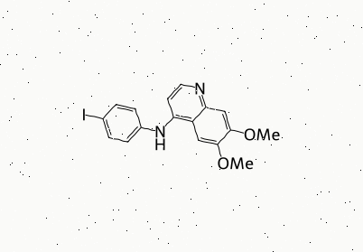 COc1cc2nccc(Nc3ccc(I)cc3)c2cc1OC